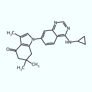 Cc1cn(-c2ccc3c(NC4CC4)ncnc3c2)c2c1C(=O)CC(C)(C)C2